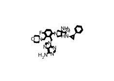 Nc1ncnc2c1ncn2Cc1c(N2CCC(N)(C(=O)N[C@H]3C[C@@H]3c3ccccc3)C2)ccc(F)c1CN1CCOCC1